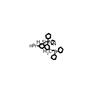 C=CB(c1ccccc1)c1ccccc1.CCCc1cccc([SiH2]C(c2ccccc2)(c2ccccc2)n2ccnc2)c1